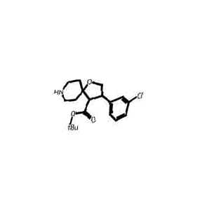 CC(C)(C)OC(=O)C1C(c2cccc(Cl)c2)COC12CCNCC2